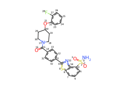 NS(=O)(=O)c1cccc2sc(-c3ccc(C(=O)N4CCC(Oc5ccccc5F)CC4)cc3)nc12